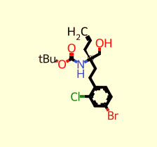 C=CC[C@@](CO)(CCc1ccc(Br)cc1Cl)NC(=O)OC(C)(C)C